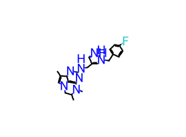 Cc1cn2c3c(nc(NC/C(C=N)=C/NCc4ccc(F)cc4)nc13)N(C)C(C)C2